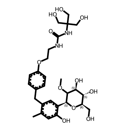 COC1[C@@H](O)[C@H](O)[C@@H](CO)O[C@H]1c1cc(Cc2ccc(OCCNC(=O)NC(CO)(CO)CO)cc2)c(C)cc1O